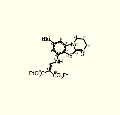 CCOC(=O)C(=CNc1cc(C(C)(C)C)cc2c1SC1=NCCCN12)C(=O)OCC